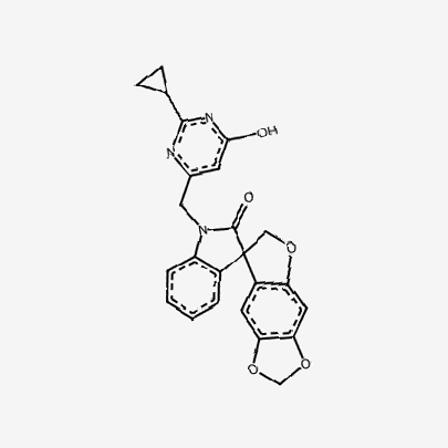 O=C1N(Cc2cc(O)nc(C3CC3)n2)c2ccccc2C12COc1cc3c(cc12)OCO3